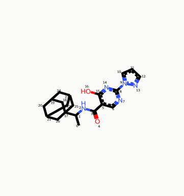 CC(NC(=O)c1cnc(-n2cccn2)nc1O)C12CC3CC(CC(C3)C1)C2